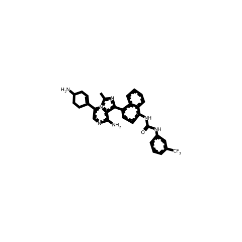 Cc1nc(-c2ccc(NC(=O)Nc3cccc(C(F)(F)F)c3)c3ccccc23)c2c(N)ncc(C3=CCC(N)CC3)n12